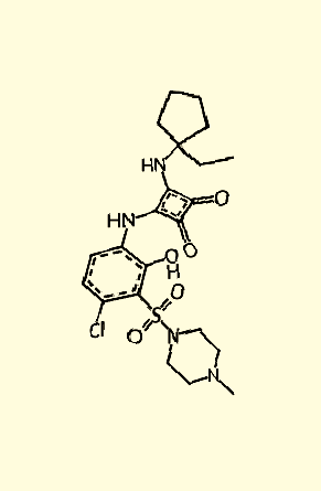 CCC1(Nc2c(Nc3ccc(Cl)c(S(=O)(=O)N4CCN(C)CC4)c3O)c(=O)c2=O)CCCC1